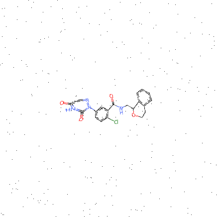 O=C(NCC1OCCc2ccccc21)c1cc(-n2ncc(=O)[nH]c2=O)ccc1Cl